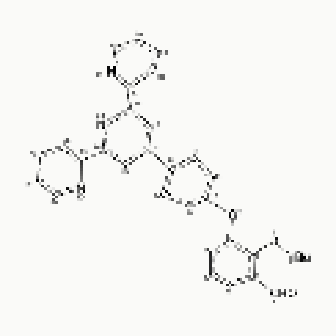 CCCCOc1c(C=O)cccc1Oc1ccc(-c2cc(-c3ccccn3)nc(-c3ccccn3)c2)cc1